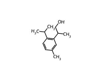 C[C](CO)c1cc(C)ccc1C(C)C